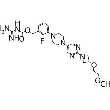 COCCOC1CN(c2ncc(N3CCN(c4cccc(COC(=O)NC(=N)N)c4F)CC3)cn2)C1